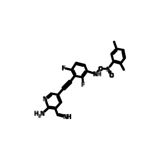 Cc1ccc(C)c(S(=O)ONc2ccc(F)c(C#Cc3cnc(N)c(C=N)c3)c2F)c1